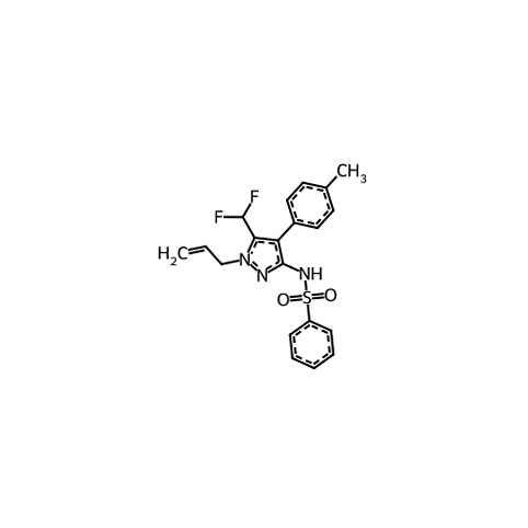 C=CCn1nc(NS(=O)(=O)c2ccccc2)c(-c2ccc(C)cc2)c1C(F)F